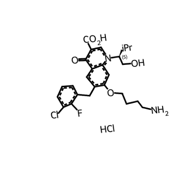 CC(C)[C@@H](CO)n1cc(C(=O)O)c(=O)c2cc(Cc3cccc(Cl)c3F)c(OCCCCN)cc21.Cl